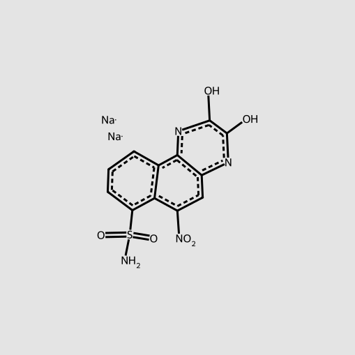 NS(=O)(=O)c1cccc2c1c([N+](=O)[O-])cc1nc(O)c(O)nc12.[Na].[Na]